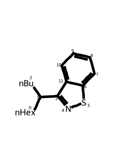 CCCCCCC(CCCC)c1nsc2ccccc12